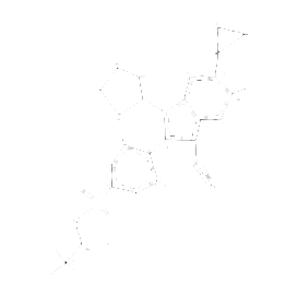 C[C@@H](NS(=O)(=O)c1ccc(-c2c(C#N)c3cc(F)c(C4CC4)cc3n2C2CCCC2)nc1)C(F)(F)F